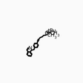 CC(C)(C)[Si](C)(C)OCCCCC#Cc1ccc(Cc2nccc3ccccc23)cc1